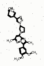 C#C/C=C\C(=C/C)c1cn([C@@H]2CCN(c3cc(C)nn4c(-c5ccc(OC)c(OC)c5)c(C)nc34)C2)nn1